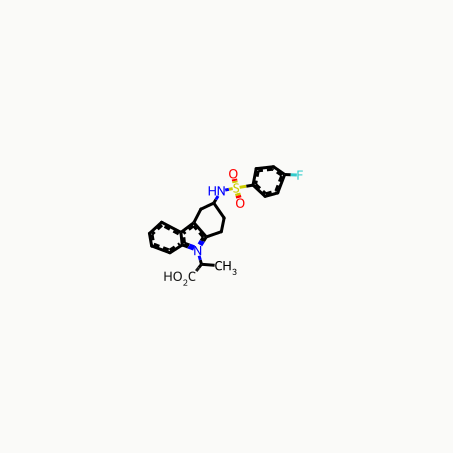 CC(C(=O)O)n1c2c(c3ccccc31)CC(NS(=O)(=O)c1ccc(F)cc1)CC2